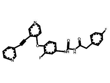 O=C(Cc1ccc(F)cc1)NC(=O)Nc1ccc(Oc2ccncc2C#Cc2cccnc2)c(F)c1